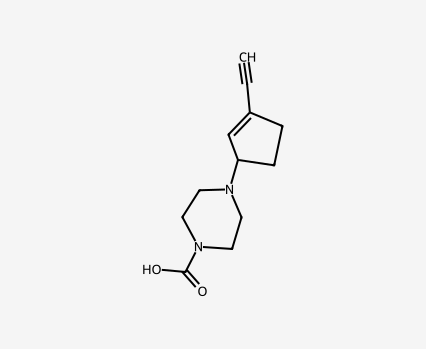 C#CC1=CC(N2CCN(C(=O)O)CC2)CC1